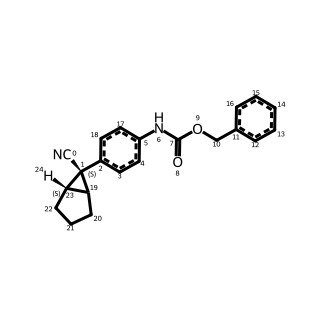 N#C[C@@]1(c2ccc(NC(=O)OCc3ccccc3)cc2)C2CCC[C@@H]21